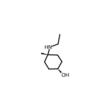 CCN[C@]1(C)CC[C@@H](O)CC1